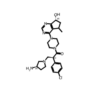 CC1C[C@@H](O)c2ncnc(N3CCN(C(=O)[C@H](CN4CC[C@@H](N)C4)c4ccc(Cl)cc4)CC3)c21